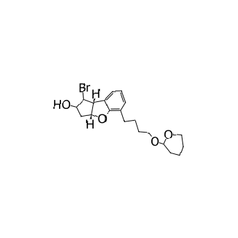 OC1C[C@H]2Oc3c(CCCCOC4CCCCO4)cccc3[C@H]2C1Br